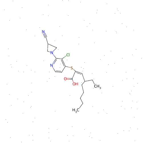 CCCCCC(C=C(Sc1ccnc(N2CC(C#N)C2)c1Cl)C(=O)O)CC